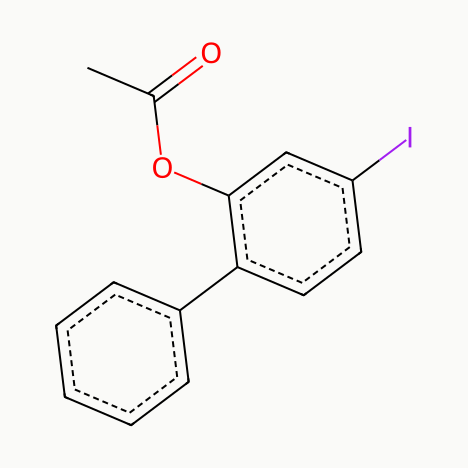 CC(=O)Oc1cc(I)ccc1-c1ccccc1